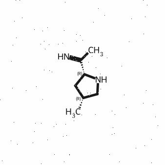 CC(=N)[C@H]1C[C@@H](C)CN1